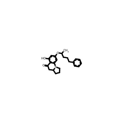 CC(CCCc1ccccc1)Oc1cc(O)c2c(c1)N1CCCC1CC2=O